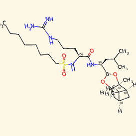 CCCCCCCCS(=O)(=O)N[C@@H](CCCNC(=N)N)C(=O)N[C@@H](CC(C)C)B1O[C@@H]2C[C@@H]3C[C@@H](C3(C)C)[C@]2(C)O1